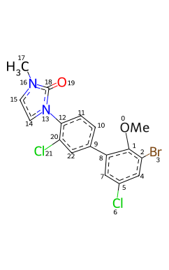 COc1c(Br)cc(Cl)cc1-c1ccc(-n2ccn(C)c2=O)c(Cl)c1